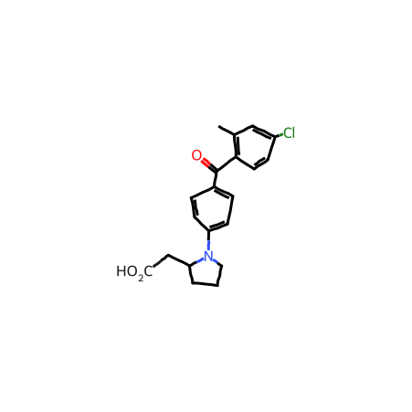 Cc1cc(Cl)ccc1C(=O)c1ccc(N2CCCC2CC(=O)O)cc1